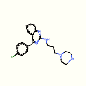 Clc1ccc(-c2nc(NCCCN3CCNCC3)nc3ccccc23)cc1